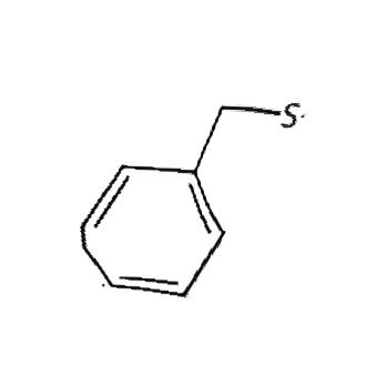 [S]Cc1cc[c]cc1